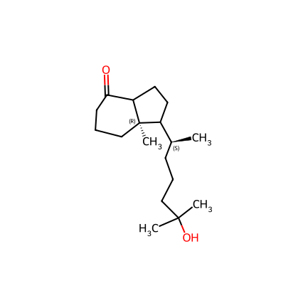 C[C@@H](CCCC(C)(C)O)C1CCC2C(=O)CCC[C@@]21C